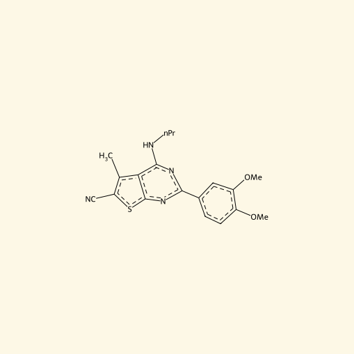 CCCNc1nc(-c2ccc(OC)c(OC)c2)nc2sc(C#N)c(C)c12